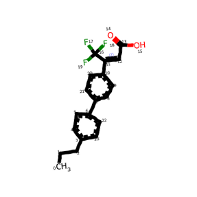 CCCc1ccc(-c2ccc(/C(=C/C(=O)O)C(F)(F)F)cc2)cc1